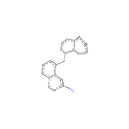 Ic1ccc2cccc(Cc3cccc4ccccc34)c2c1